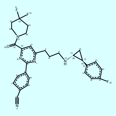 N#Cc1ccc(-c2nc(CCCN[C@@H]3C[C@H]3c3ccc(F)cc3)cc(C(=O)N3CCC(F)(F)CC3)n2)cc1